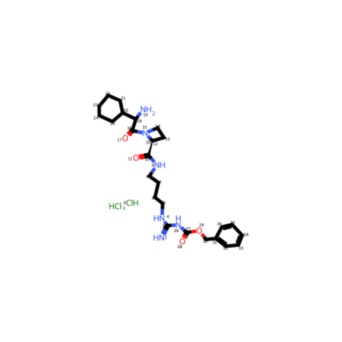 Cl.Cl.N=C(NCCCCNC(=O)[C@@H]1CCN1C(=O)C(N)C1CCCCC1)NC(=O)OCc1ccccc1